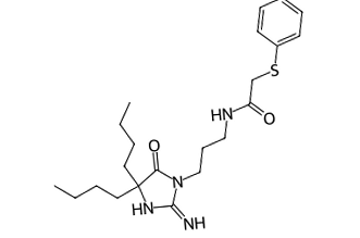 CCCCC1(CCCC)NC(=N)N(CCCNC(=O)CSc2ccccc2)C1=O